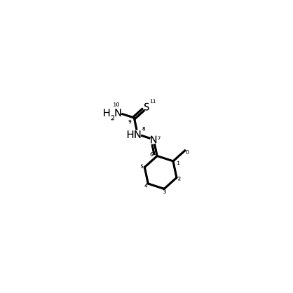 CC1CCCC/C1=N\NC(N)=S